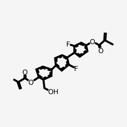 C=C(C)C(=O)Oc1ccc(-c2ccc(-c3ccc(OC(=O)C(=C)C)c(CO)c3)cc2F)c(F)c1